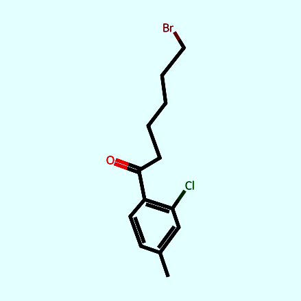 Cc1ccc(C(=O)CCCCCBr)c(Cl)c1